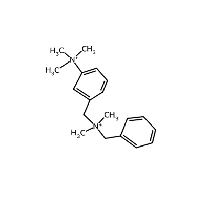 C[N+](C)(Cc1ccccc1)Cc1cccc([N+](C)(C)C)c1